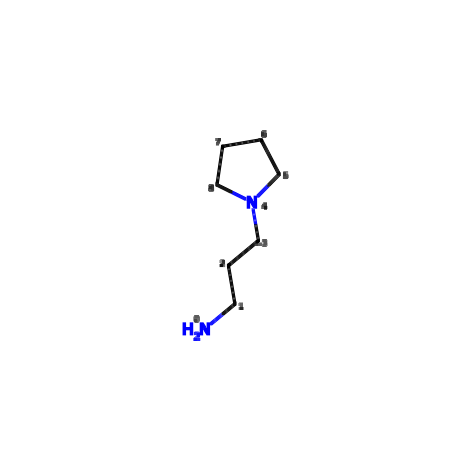 NCC[C]N1CCCC1